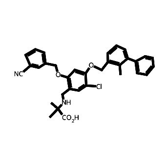 Cc1c(COc2cc(OCc3cccc(C#N)c3)c(CNC(C)(C)C(=O)O)cc2Cl)cccc1-c1ccccc1